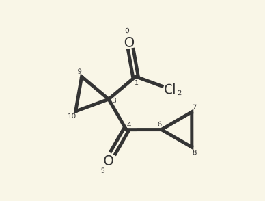 O=C(Cl)C1(C(=O)C2CC2)CC1